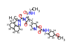 CCNC(=O)[C@@H]1[C@@H](Cc2ccnc(OC(=O)NCc3ccc(OC)cc3)c2)C(=O)N1C(=O)NC(C)c1cccc2ccccc12